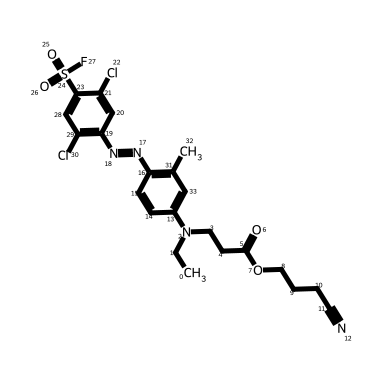 CCN(CCC(=O)OCCCC#N)c1ccc(/N=N/c2cc(Cl)c(S(=O)(=O)F)cc2Cl)c(C)c1